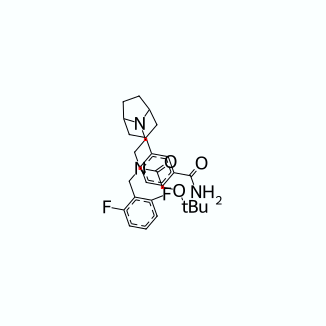 CC(C)(C)OCC(=O)N(CCN1C2CCC1CC(c1cccc(C(N)=O)c1)C2)Cc1c(F)cccc1F